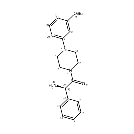 CC(C)COc1cc(N2CCN(C(=O)[C@H](N)c3ccccc3)CC2)ncn1